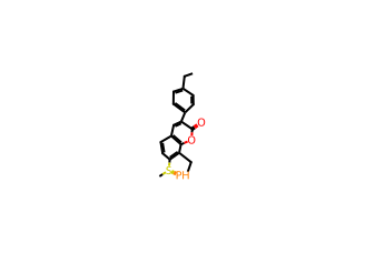 CCc1ccc(-c2cc3ccc(S(C)=P)c(CC)c3oc2=O)cc1